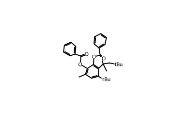 CCCCc1cc(C)c(OC(=O)c2ccccc2)c(OC(=O)c2ccccc2)c1C(C)(C)CC(C)(C)C